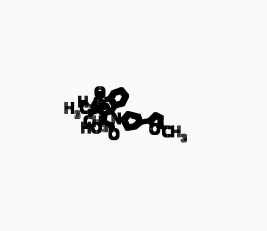 Cc1ccc(-c2ccc(N3C(=O)C(O)=C(C(=O)C(C)C)C3c3ccccc3S(C)(=O)=O)cc2)o1